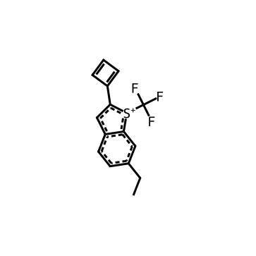 CCc1ccc2cc(C3=CC=C3)[s+](C(F)(F)F)c2c1